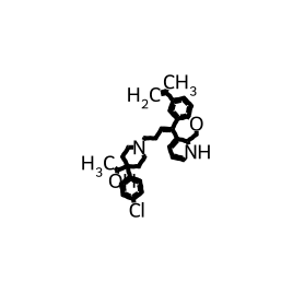 C=C(C)c1ccc2c(c1)/C(=C/CCN1CCC(c3ccc(Cl)cc3)(C(C)O)CC1)C1=CC=CNC1CO2